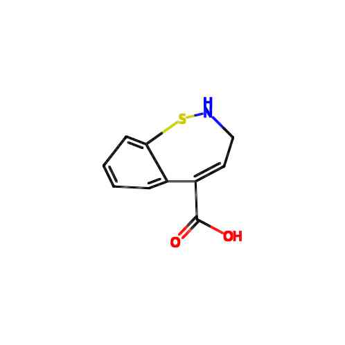 O=C(O)C1=CCNSc2ccccc21